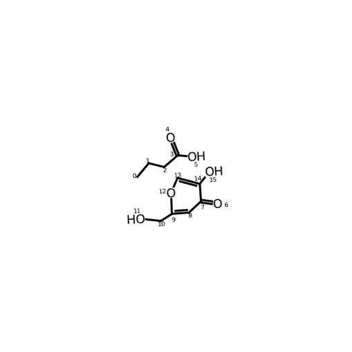 CCCC(=O)O.O=c1cc(CO)occ1O